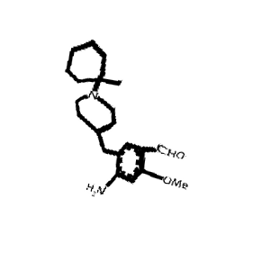 COc1cc(N)c(CC2CCN(C3(C)CCCCC3)CC2)cc1[C]=O